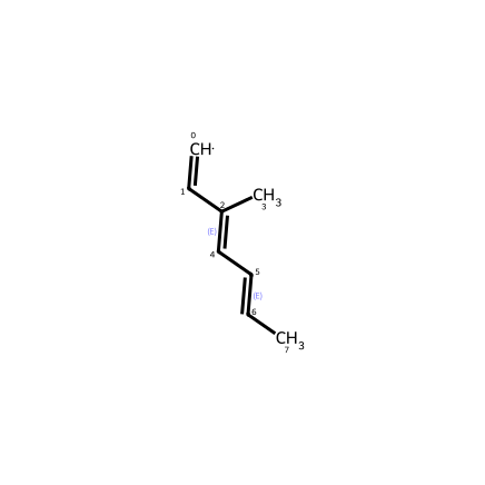 [CH]=C/C(C)=C/C=C/C